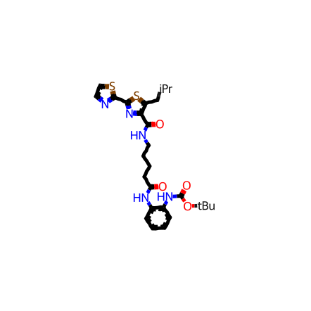 CC(C)Cc1sc(-c2nccs2)nc1C(=O)NCCCCC(=O)Nc1ccccc1NC(=O)OC(C)(C)C